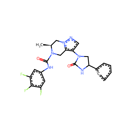 C[C@H]1Cn2ncc(N3CC(c4ccccc4)NC3=O)c2CN1C(=O)Nc1cc(F)c(F)c(F)c1